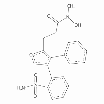 CN(O)C(=O)CCc1occ(-c2ccccc2S(N)(=O)=O)c1-c1ccccc1